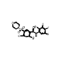 O=C(Nc1cc(F)c(F)c(F)c1Br)c1cc(S(=O)(=O)N2CCOCC2)c(Cl)cc1Cl